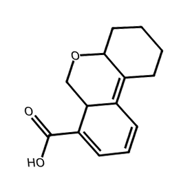 O=C(O)C1=CC=CC2=C3CCCCC3OCC12